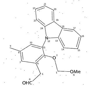 COCOc1c(CC=O)cc(C)cc1-n1c2ccccc2c2ccccc21